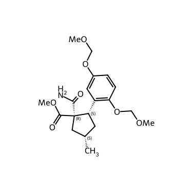 COCOc1ccc(OCOC)c([C@@H]2C[C@H](C)C[C@@]2(C(N)=O)C(=O)OC)c1